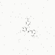 Cc1nc(C2(F)CC2)ccc1Oc1nnc(C(F)(F)F)c(C)c1C(=O)Nc1cccc(S(C)(=N)=O)c1